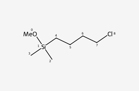 CO[Si](C)(C)CCCCCl